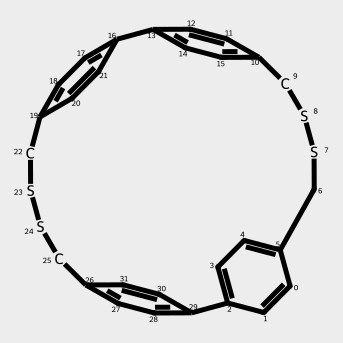 c1cc2ccc1CSSCc1ccc(cc1)-c1ccc(cc1)CSSCc1ccc-2cc1